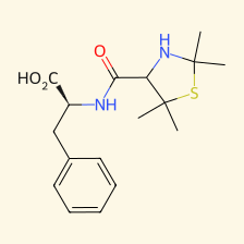 CC1(C)NC(C(=O)N[C@@H](Cc2ccccc2)C(=O)O)C(C)(C)S1